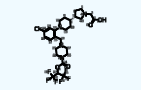 O=C(O)CN1CC[C@@H](C2CCN(c3cc(Cl)ccc3CN3CCN(C(=O)OC(C(F)(F)F)C(F)(F)F)CC3)CC2)C1